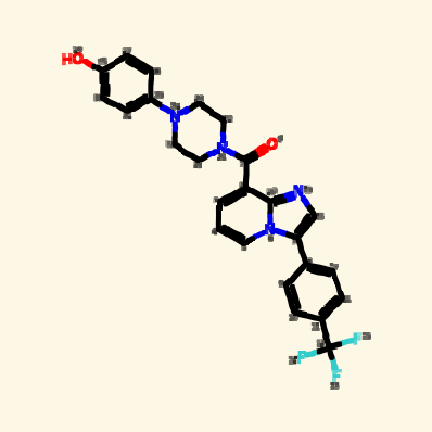 O=C(c1cccn2c(-c3ccc(C(F)(F)F)cc3)cnc12)N1CCN(c2ccc(O)cc2)CC1